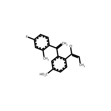 C=C(c1ccc(F)cc1C)c1cc(C(=O)O)ccc1/C(Cl)=C\C